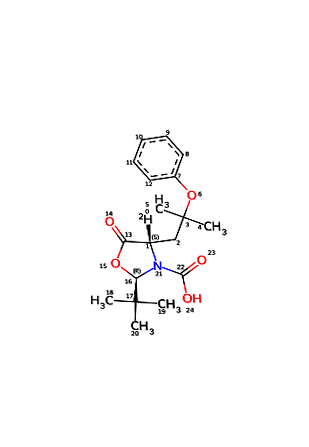 [2H][C@]1(CC(C)(C)Oc2ccccc2)C(=O)O[C@H](C(C)(C)C)N1C(=O)O